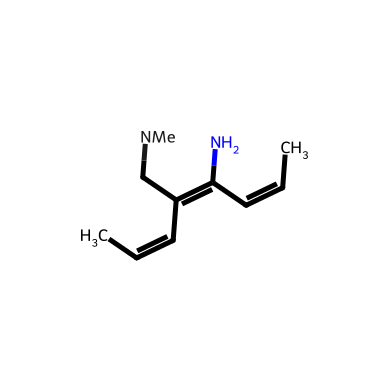 C\C=C/C(N)=C(\C=C/C)CNC